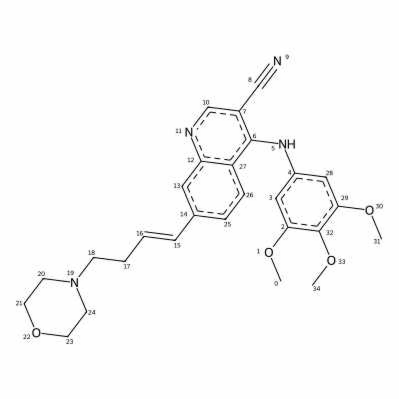 COc1cc(Nc2c(C#N)cnc3cc(C=CCCN4CCOCC4)ccc23)cc(OC)c1OC